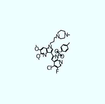 COc1cc2c(nc1OC)c(-c1cc3c(Cl)c(F)cnc3n1S(=O)(=O)c1ccc(C)cc1)cn2CCCN1CCCN(C)CC1